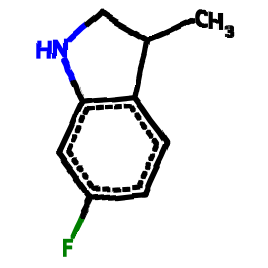 CC1CNc2cc(F)ccc21